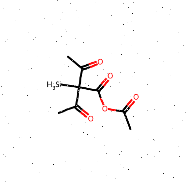 CC(=O)OC(=O)C([SiH3])(C(C)=O)C(C)=O